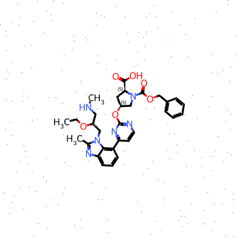 CCOC(CNC)Cn1c(C)nc2cccc(-c3ccnc(O[C@H]4C[C@@H](C(=O)O)N(C(=O)OCc5ccccc5)C4)n3)c21